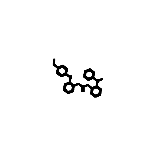 CCc1ccc(Sc2ccccc2CNCc2ccccc2N(C)c2ccccc2)cc1